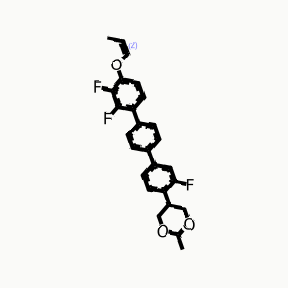 C/C=C\Oc1ccc(-c2ccc(-c3ccc(C4COC(C)OC4)c(F)c3)cc2)c(F)c1F